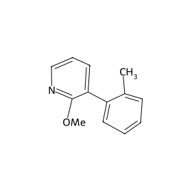 COc1ncccc1-c1ccccc1C